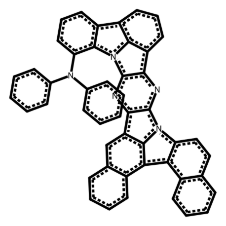 c1ccc(N(c2ccccc2)c2cccc3c4cccc5c6nc7c(nc6n(c23)c45)c2cc3ccccc3c3c4c5ccccc5ccc4n7c23)cc1